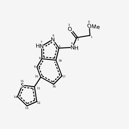 COCC(=O)Nc1n[nH]c2cc(-c3cccs3)ccc12